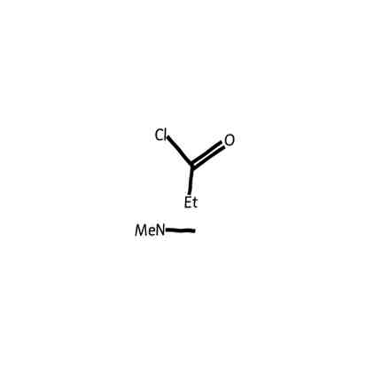 CCC(=O)Cl.CNC